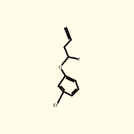 C=CCC(F)Oc1cccc(CC)c1